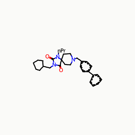 CCCN1C(=O)N(CC2CCCCC2)C(=O)C12CCN(Cc1ccc(-c3ccccc3)cc1)CC2